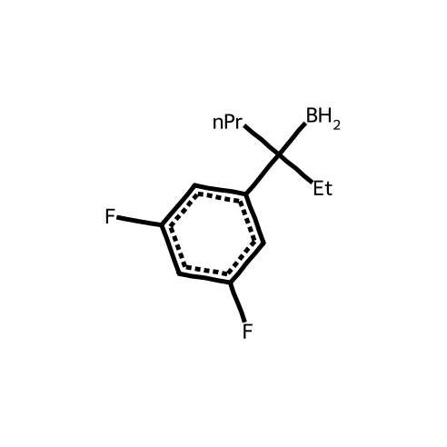 BC(CC)(CCC)c1cc(F)cc(F)c1